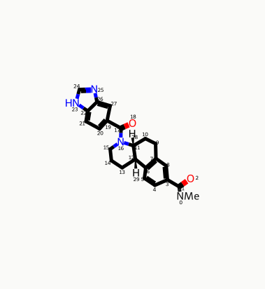 CNC(=O)c1ccc2c(c1)CC[C@@H]1[C@H]2CCCN1C(=O)c1ccc2[nH]cnc2c1